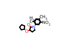 Cc1cc(C)c([N+](=O)[O-])cc1N1CCC(OC2CCCC2)C1=O